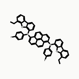 CCc1cccc2c1oc1c(N(c3ccc(F)cc3)c3ccc4ccc5c(N(c6ccc(F)cc6)c6cccc7c6oc6c(CC)cccc67)ccc6ccc3c4c65)cccc12